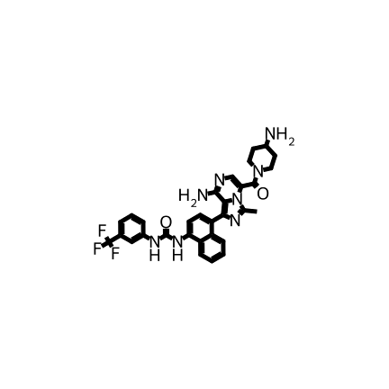 Cc1nc(-c2ccc(NC(=O)Nc3cccc(C(F)(F)F)c3)c3ccccc23)c2c(N)ncc(C(=O)N3CCC(N)CC3)n12